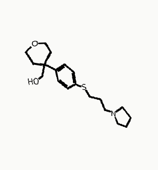 OCC1(c2ccc(SCCCN3CCCC3)cc2)CCOCC1